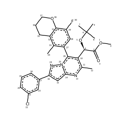 COC(=O)[C@H](OC(C)(C)C)c1c(C)nc2cc(-c3cccc(Cl)c3)nn2c1-c1cc(F)c2c(c1C)CCCO2